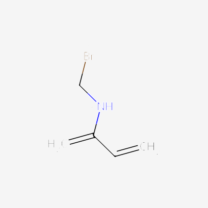 C=CC(=C)NCBr